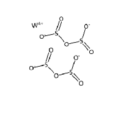 O=S([O-])OS(=O)[O-].O=S([O-])OS(=O)[O-].[W+4]